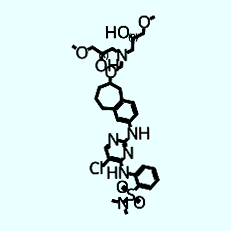 COC[C@H](O)CN(COC1CCCc2cc(Nc3ncc(Cl)c(Nc4ccccc4S(=O)(=O)N(C)C)n3)ccc2C1)C[C@@H](O)COC